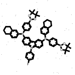 CC1(C)OB(c2ccc(N(c3ccc4c(c3)CCCC4)c3ccc4c(c3)c3cc(N(c5ccc(B6OC(C)(C)C(C)(C)O6)cc5)c5ccc6c(c5)CCCC6)ccc3n4-c3ccc(F)cc3)cc2)OC1(C)C